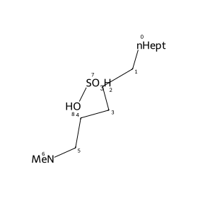 CCCCCCCCCCCCNC.O=S(=O)(O)O